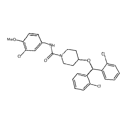 COc1ccc(NC(=O)N2CCC(OC(c3ccccc3Cl)c3ccccc3Cl)CC2)cc1Cl